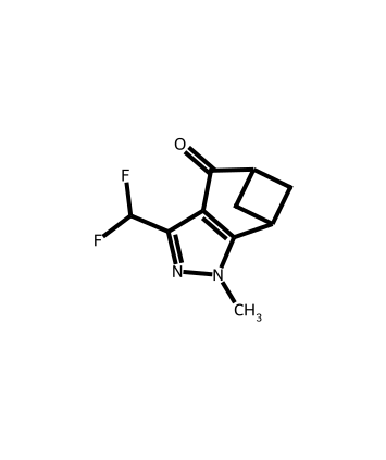 Cn1nc(C(F)F)c2c1C1CC(C1)C2=O